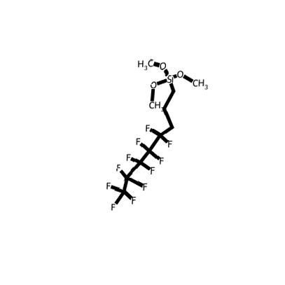 CO[Si](CCCC(F)(F)C(F)(F)C(F)(F)C(F)(F)C(F)(F)F)(OC)OC